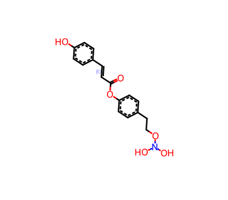 O=C(/C=C/c1ccc(O)cc1)Oc1ccc(CCON(O)O)cc1